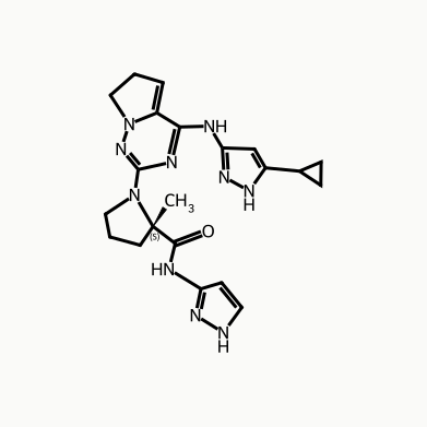 C[C@@]1(C(=O)Nc2cc[nH]n2)CCCN1C1=NN2CCC=C2C(Nc2cc(C3CC3)[nH]n2)=N1